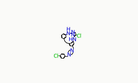 Clc1ccc(CN2CCN(Cc3cc4cc(c3)Nc3nc(ncc3Cl)Nc3cccc(c3)CC4)CC2)cc1